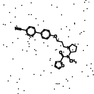 CN(C(=O)c1ccco1)C1CCCN1CCCOc1ccc(-c2ccc(C#N)cc2)cc1